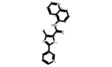 Cc1nc(-c2cccnc2)sc1C(=O)Nc1cccc2ncccc12